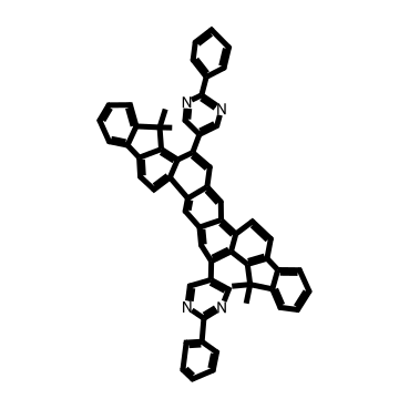 CC1(C)c2ccccc2-c2ccc3c(c(-c4cnc(-c5ccccc5)nc4)cc4cc5c(cc(-c6cnc(-c7ccccc7)nc6)c6c7c(ccc65)-c5ccccc5C7(C)C)cc43)c21